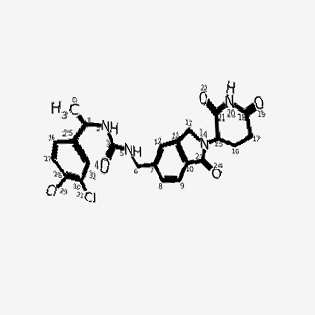 CC(NC(=O)NCc1ccc2c(c1)CN(C1CCC(=O)NC1=O)C2=O)c1ccc(Cl)c(Cl)c1